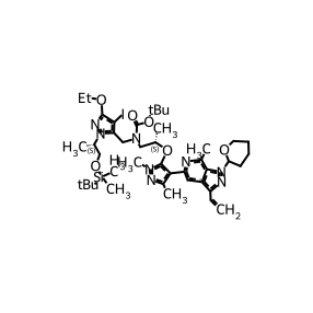 C=Cc1nn(C2CCCCO2)c2c(C)nc(-c3c(C)nn(C)c3O[C@@H](C)CN(Cc3c(I)c(OCC)nn3[C@@H](C)CO[Si](C)(C)C(C)(C)C)C(=O)OC(C)(C)C)cc12